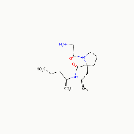 C=CC[C@]1(C(=O)N[C@H](CCC(=O)O)C(=O)O)CCCN1C(=O)CN